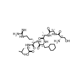 CC(C)C[C@H](NC(=O)[C@H](CCCNC(=N)N)NC(=O)[C@H](CC1CCCCC1)NC(=O)[C@H](C)NC(=O)[C@H](C)NC(=O)[C@@H](N)CO)C(=O)O